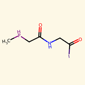 CPCC(=O)NCC(=O)I